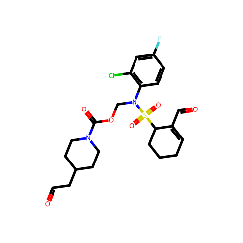 O=CCC1CCN(C(=O)OCN(c2ccc(F)cc2Cl)S(=O)(=O)C2CCCC=C2C=O)CC1